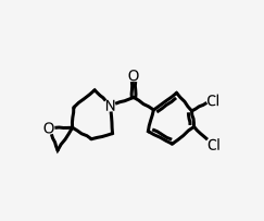 O=C(c1ccc(Cl)c(Cl)c1)N1CCC2(CC1)CO2